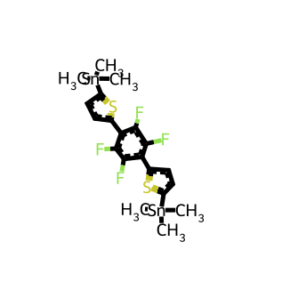 [CH3][Sn]([CH3])([CH3])[c]1ccc(-c2c(F)c(F)c(-c3cc[c]([Sn]([CH3])([CH3])[CH3])s3)c(F)c2F)s1